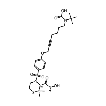 CC1(C)SCCN(S(=O)(=O)c2ccc(OCC#CCCCCN(C(=O)O)C(C)(C)C)cc2)[C@H]1C(=O)NO